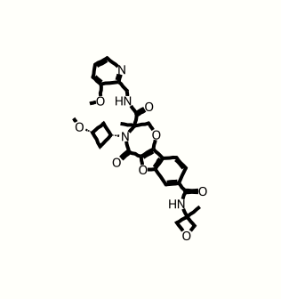 COc1cccnc1CNC(=O)C1(C)COc2c(oc3cc(C(=O)NC4(C)COC4)ccc23)C(=O)N1[C@H]1C[C@@H](OC)C1